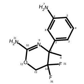 CC1(c2cccc(N)c2)N=C(N)OCC1(F)F